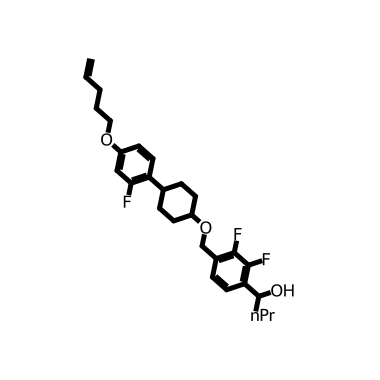 C=CCCCOc1ccc(C2CCC(OCc3ccc(C(O)CCC)c(F)c3F)CC2)c(F)c1